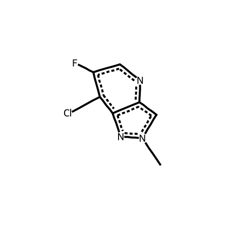 Cn1cc2ncc(F)c(Cl)c2n1